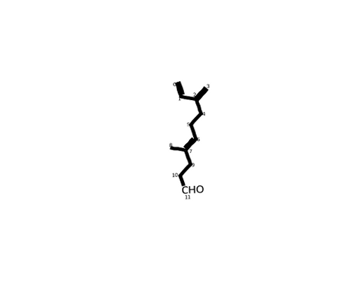 C=CC(=C)CC/C=C(\C)CCC=O